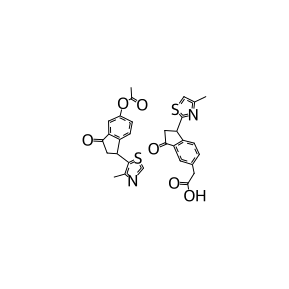 CC(=O)Oc1ccc2c(c1)C(=O)CC2c1scnc1C.Cc1csc(C2CC(=O)c3cc(CC(=O)O)ccc32)n1